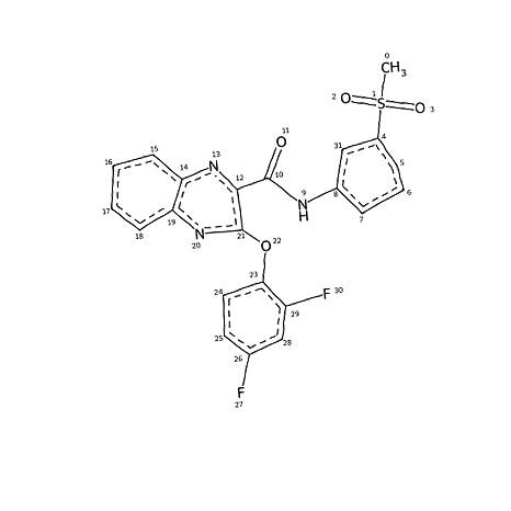 CS(=O)(=O)c1cccc(NC(=O)c2nc3ccccc3nc2Oc2ccc(F)cc2F)c1